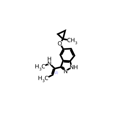 C/C=C(\NC)c1n[nH]c2ccc(OC3(C)CC3)cc12